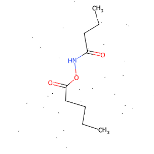 CCCCC(=O)ONC(=O)CCC